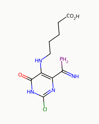 N=C(P)c1nc(Cl)[nH]c(=O)c1NCCCCC(=O)O